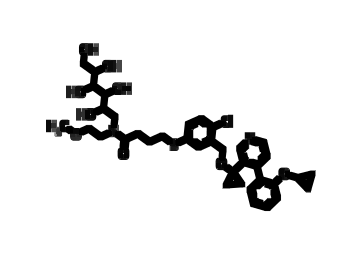 COCCN(CC(O)C(O)C(O)C(O)CO)C(=O)CCCSc1ccc(Cl)c(COC2(c3cnccc3-c3ccccc3OC3CC3)CC2)c1